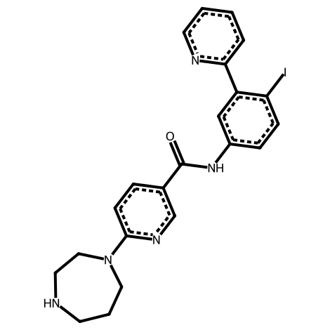 O=C(Nc1ccc(I)c(-c2ccccn2)c1)c1ccc(N2CCCNCC2)nc1